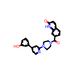 O=C(c1ccc2ccc(=O)[nH]c2c1)N1CCN(c2cc(-c3cccc(O)c3)ccn2)CC1